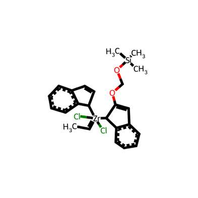 C[CH]=[Zr]([Cl])([Cl])([CH]1C=Cc2ccccc21)[CH]1C(OCO[Si](C)(C)C)=Cc2ccccc21